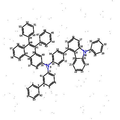 c1ccc(-c2cccc(N(c3ccc(-c4cccc5c4c4ccccc4n5-c4ccccc4)cc3)c3ccc4c(c3)c(-c3ccccc3)c(-c3ccccc3)c3ccccc34)c2)cc1